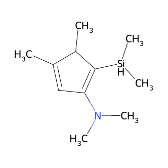 CC1=CC(N(C)C)=C([SiH](C)C)C1C